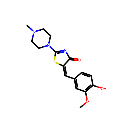 COc1cc(C=C2SC(N3CCN(C)CC3)=NC2=O)ccc1O